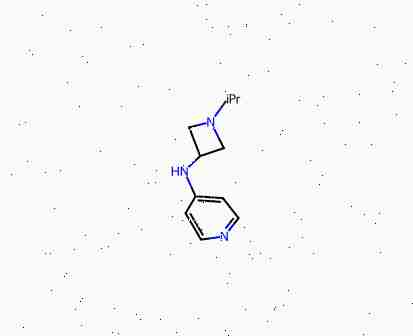 CC(C)N1CC(Nc2ccncc2)C1